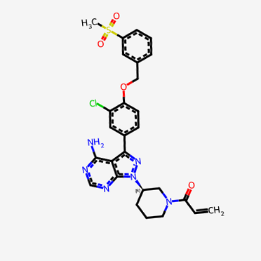 C=CC(=O)N1CCC[C@@H](n2nc(-c3ccc(OCc4cccc(S(C)(=O)=O)c4)c(Cl)c3)c3c(N)ncnc32)C1